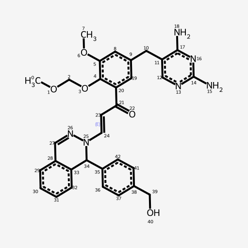 COCOc1c(OC)cc(Cc2cnc(N)nc2N)cc1C(=O)/C=C/N1N=Cc2ccccc2C1c1ccc(CO)cc1